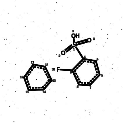 O=S(=O)(O)c1ccccc1F.c1ccccc1